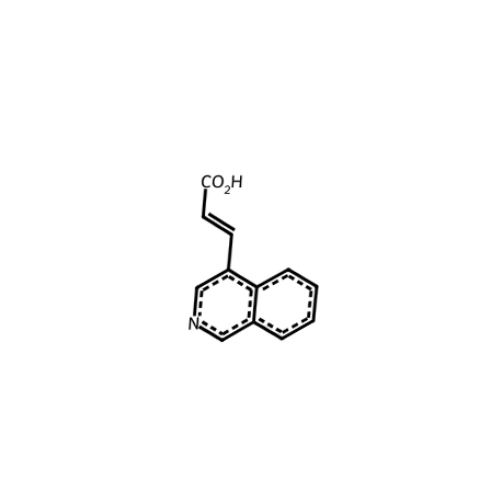 O=C(O)C=Cc1cncc2ccccc12